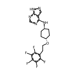 Fc1c(F)c(F)c(CCO[C@H]2CC[C@H](Nc3ncnc4[nH]ncc34)CC2)c(F)c1F